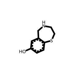 Oc1ccc2c(c1)CNCCS2